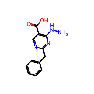 NNc1nc(Cc2ccccc2)ncc1C(=O)O